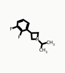 CC(C)N1CC(c2cccc(F)c2F)C1